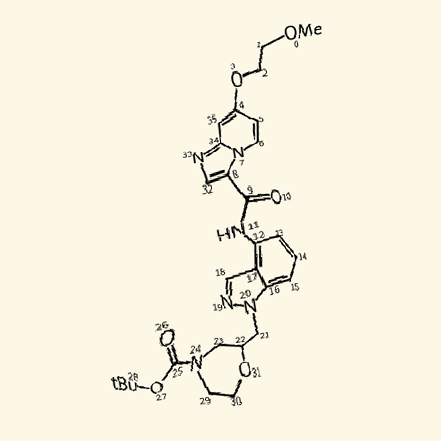 COCCOc1ccn2c(C(=O)Nc3cccc4c3cnn4CC3CN(C(=O)OC(C)(C)C)CCO3)cnc2c1